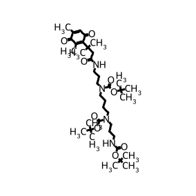 CC1=CC(=O)C(C(C)(C)CC(=O)NCCCN(CCCCN(CCCNC(=O)OC(C)(C)C)C(=O)OC(C)(C)C)C(=O)OC(C)(C)C)=C(C)C1=O